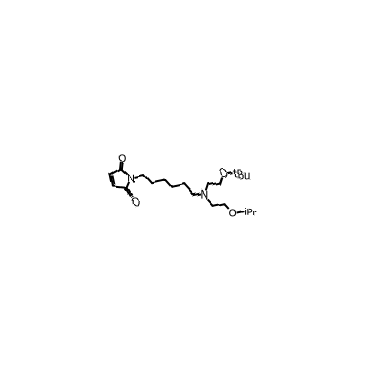 CC(C)OCCN(CCCCCCN1C(=O)C=CC1=O)CCOC(C)(C)C